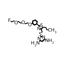 CCCc1sc(-c2cccc(OCCOCCOCCF)c2)nc1CSc1nc(N)cc(N)n1